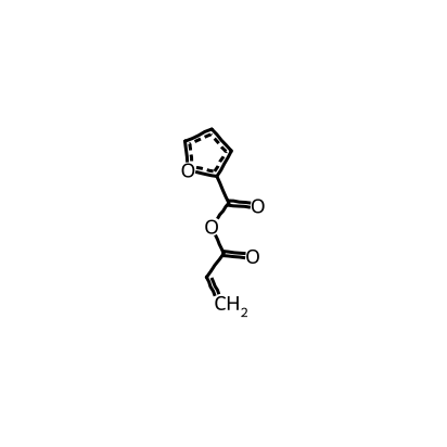 C=CC(=O)OC(=O)c1ccco1